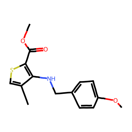 COC(=O)c1scc(C)c1NCc1ccc(OC)cc1